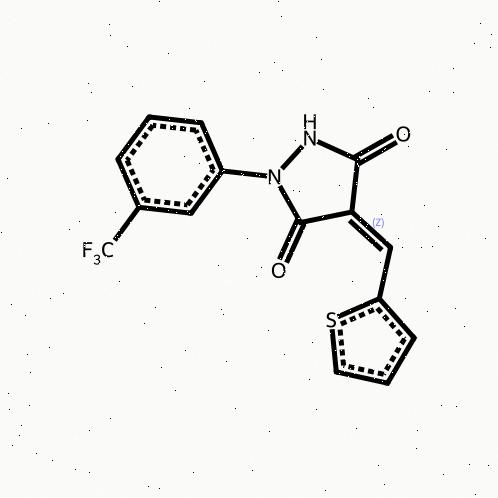 O=C1NN(c2cccc(C(F)(F)F)c2)C(=O)/C1=C\c1cccs1